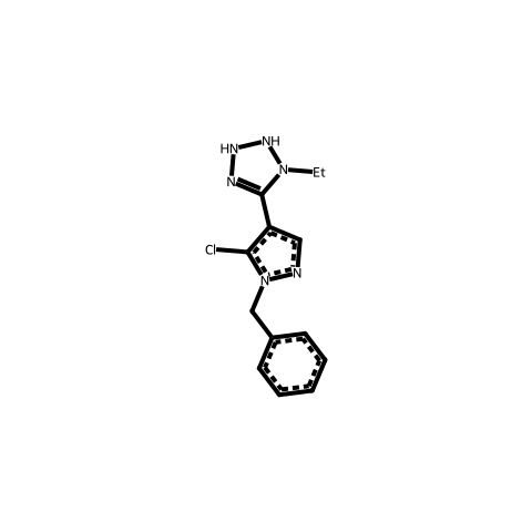 CCN1NNN=C1c1cnn(Cc2ccccc2)c1Cl